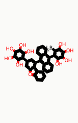 Bc1c(O)c(O)c(O)c(O)c1-c1c2ccccc2c(-c2cc(-c3c(O)c(O)c(O)c(O)c3O)cc3oc4ccccc4c23)c2ccccc12